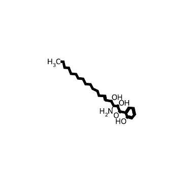 CCCCCCCCCCCCC/C=C/[C@@H](O)[C@@H](N)C(O)C(=O)c1ccccc1O